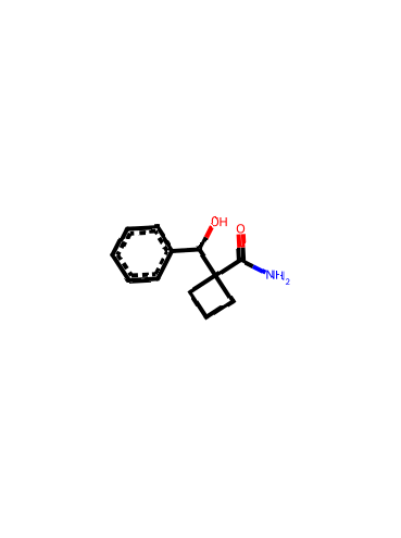 NC(=O)C1(C(O)c2ccccc2)CCC1